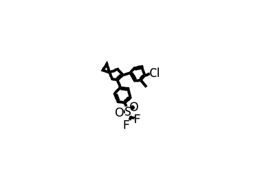 Cc1cc(C2=C(c3ccc(S(=O)(=O)C(F)F)cc3)CC3(CC3)C2)ccc1Cl